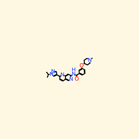 CC(C)n1cc(-c2ccc3cnc(NC(=O)c4cccc(OC5CCN(C)CC5)c4)cc3n2)cn1